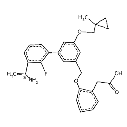 C[C@H](N)c1cccc(-c2cc(COc3ccccc3CC(=O)O)cc(OCC3(C)CC3)c2)c1F